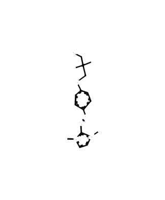 Cn1cc[n+](C)c1/N=N/c1ccc(NCC(C)(C)CN)cc1